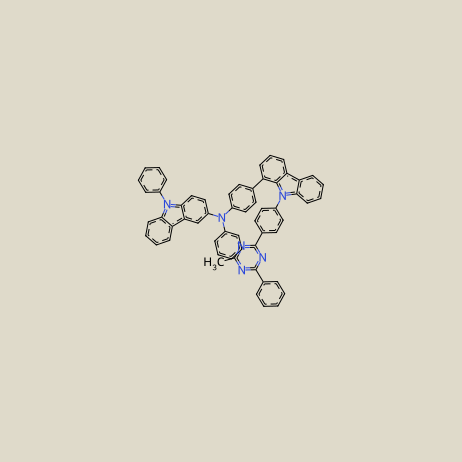 Cc1nc(-c2ccccc2)nc(-c2ccc(-n3c4ccccc4c4cccc(-c5ccc(N(c6ccccc6)c6ccc7c(c6)c6ccccc6n7-c6ccccc6)cc5)c43)cc2)n1